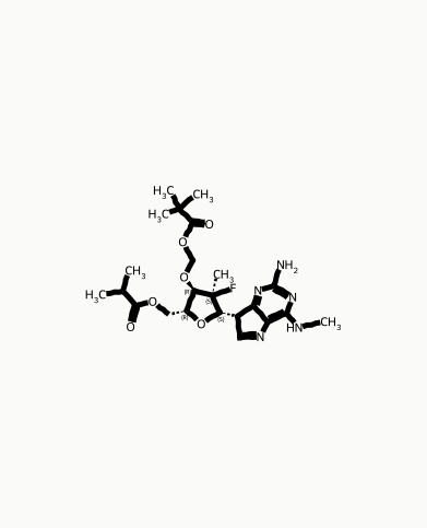 CNc1nc(N)nc2c1N=CC2[C@@H]1O[C@H](COC(=O)C(C)C)[C@@H](OCOC(=O)C(C)(C)C)[C@@]1(C)F